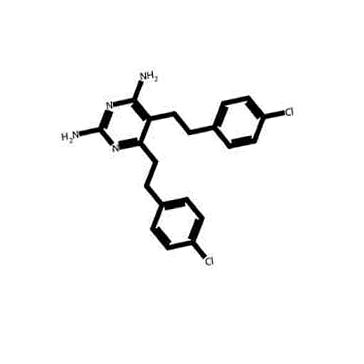 Nc1nc(N)c(CCc2ccc(Cl)cc2)c(CCc2ccc(Cl)cc2)n1